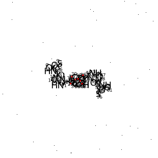 COC(=O)N[C@@H](CCSC)C(=O)N1CCC[C@H]1c1nc(-c2ccc(-c3cc4ccc3CCc3ccc(c(-c5ccc(-c6c[nH]c([C@@H]7CCCN7C(=O)[C@H](CCSC)NC(=O)OC)n6)cc5)c3)C[C@H]4C)cc2)c[nH]1